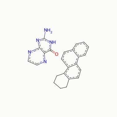 Nc1nc2nccnc2c(=O)[nH]1.c1ccc2c(c1)ccc1c3c(ccc12)CCCC3